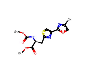 CC(C)(C)OC(=O)N[C@@H](Cc1nc(-c2nc(C#N)co2)cs1)C(=O)OC(C)(C)C